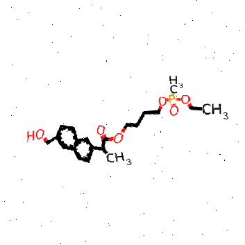 CCOP(C)(=O)OCCCCOC(=O)C(C)c1ccc2cc(CO)ccc2c1